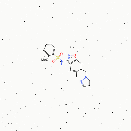 COc1ccccc1S(=O)(=O)Nc1noc2cc(Cn3cccn3)c(C)cc12